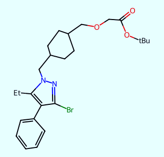 CCc1c(-c2ccccc2)c(Br)nn1CC1CCC(COCC(=O)OC(C)(C)C)CC1